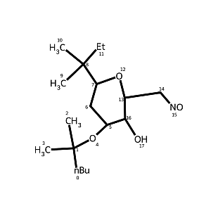 CCCCC(C)(C)OC1CC(C(C)(C)CC)OC(CN=O)C1O